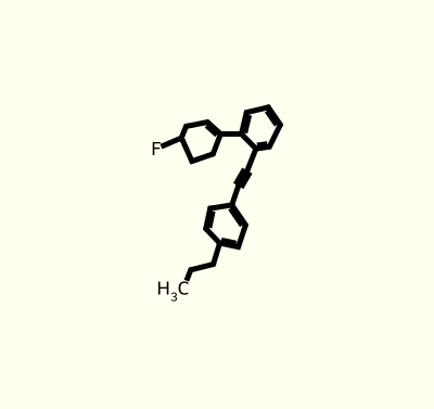 CCCc1ccc(C#Cc2ccccc2C2=CCC(F)CC2)cc1